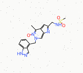 Cc1c2cc(CNS(C)(=O)=O)nc-2cn(Cc2cccc3[nH]ncc23)[n+]1[O-]